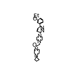 CCOc1cccc(-c2ccc(N3CCN(CC(=O)N4CCN(C5CCC5)CC4)CC3)nn2)c1